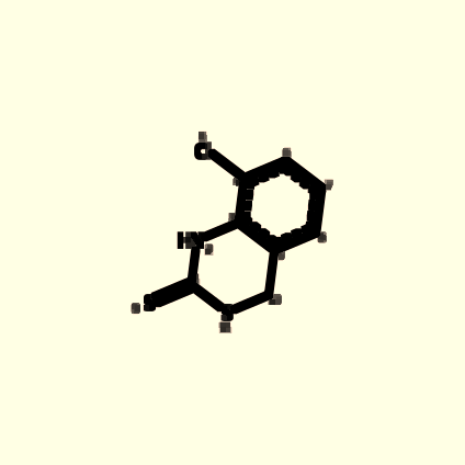 S=C1Nc2c(Cl)cccc2CS1